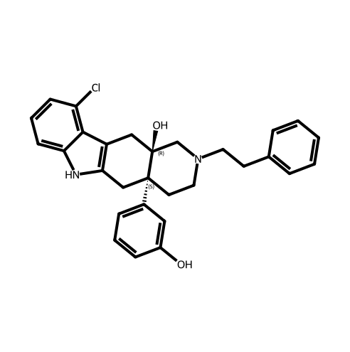 Oc1cccc([C@@]23CCN(CCc4ccccc4)C[C@@]2(O)Cc2c([nH]c4cccc(Cl)c24)C3)c1